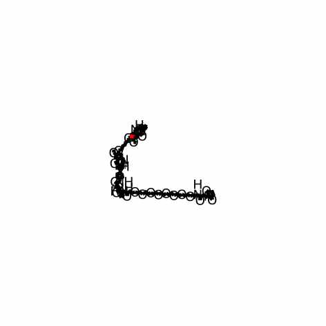 COc1cc2c(cc1OCCCCCOc1cc3c(cc1OC)C(=O)N1CC(C)(C)C[C@H]1C=N3)N=C[C@@H]1CC(c3ccc(NC(=O)[C@H](C)NC(=O)[C@@H](NC(=O)CCOCCOCCOCCOCCOCCOCCOCCOCCNC(=O)CCN4C(=O)C=CC4=O)C(C)C)cc3)=CN1C2=O